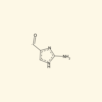 Nc1nc([C]=O)c[nH]1